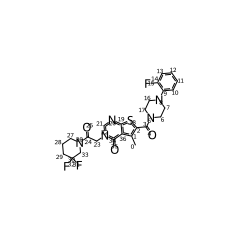 Cc1c(C(=O)N2CCN(c3ccccc3F)CC2)sc2ncn(CC(=O)N3CCCC(F)(F)C3)c(=O)c12